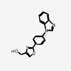 OCc1coc(-c2ccc(-n3cnc4ccccc43)cc2)n1